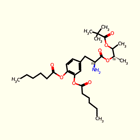 CCCCCC(=O)Oc1ccc(C[C@H](N)C(=O)O[C@@H](C)C(C)OC(=O)C(C)(C)C)cc1OC(=O)CCCCC